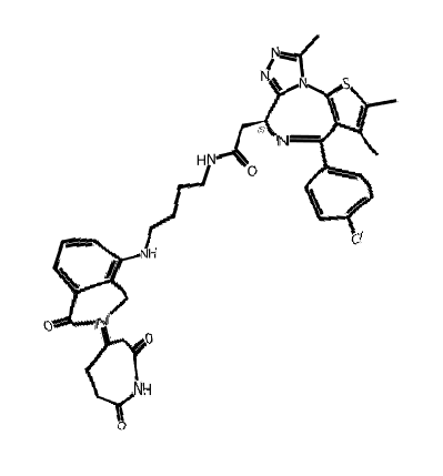 Cc1sc2c(c1C)C(c1ccc(Cl)cc1)=N[C@@H](CC(=O)NCCCCNc1cccc3c1CN(C1CCC(=O)NC1=O)C3=O)c1nnc(C)n1-2